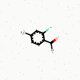 CCC(=O)c1ccc(C(F)(F)F)cc1F